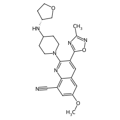 COc1cc(C#N)c2nc(N3CCC(N[C@@H]4CCOC4)CC3)c(-c3nc(C)no3)cc2c1